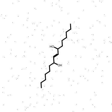 CCCCCCC(O)C=CC(O)CCCCCC